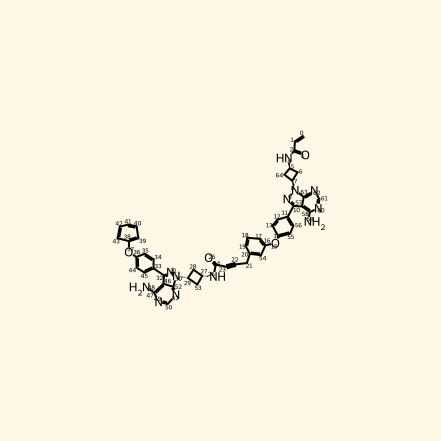 C=CC(=O)N[C@H]1C[C@@H](n2nc(-c3ccc(Oc4cccc(CC#CC(=O)N[C@H]5C[C@@H](n6nc(-c7ccc(Oc8ccccc8)cc7)c7c(N)ncnc76)C5)c4)cc3)c3c(N)ncnc32)C1